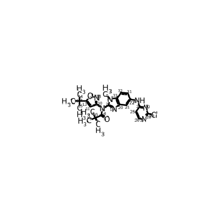 Cn1c(N(C(=O)C(C)(C)C)c2cc(C(C)(C)C)on2)nc2cc(Nc3ccnc(Cl)n3)ccc21